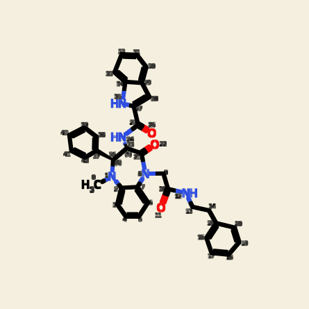 CN1c2ccccc2N(CC(=O)NCCc2ccccc2)C(=O)[C@@H](NC(=O)c2cc3ccccc3[nH]2)[C@@H]1c1ccccc1